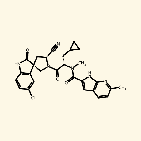 Cc1ccc2cc(C(=O)N(C)[C@@H](CC3CC3)C(=O)N3C[C@]4(C[C@H]3C#N)C(=O)Nc3ccc(Cl)cc34)[nH]c2n1